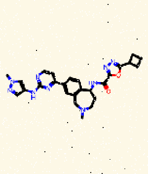 CN1CCC(NC(=O)c2nnc(C3CCC3)o2)c2ccc(-c3ccnc(Nc4cnn(C)c4)n3)cc2C1